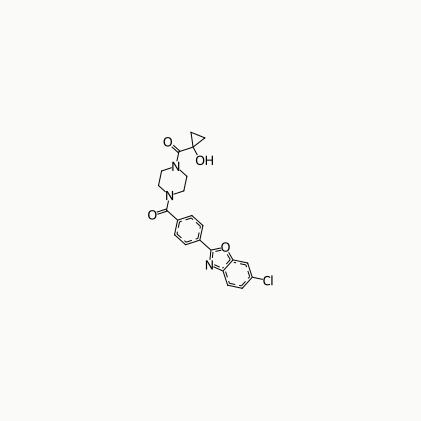 O=C(c1ccc(-c2nc3ccc(Cl)cc3o2)cc1)N1CCN(C(=O)C2(O)CC2)CC1